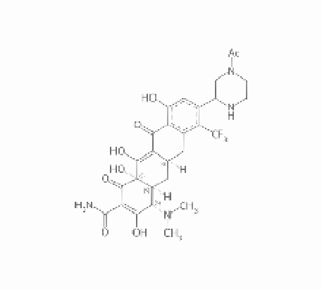 CC(=O)N1CCNC(c2cc(O)c3c(c2C(F)(F)F)C[C@H]2C[C@H]4[C@H](N(C)C)C(O)=C(C(N)=O)C(=O)[C@@]4(O)C(O)=C2C3=O)C1